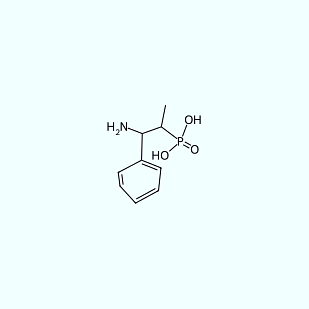 CC(C(N)c1ccccc1)P(=O)(O)O